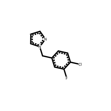 Fc1cc(Cn2c[c]cn2)ccc1Cl